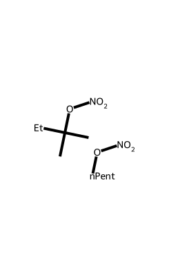 CCC(C)(C)O[N+](=O)[O-].CCCCCO[N+](=O)[O-]